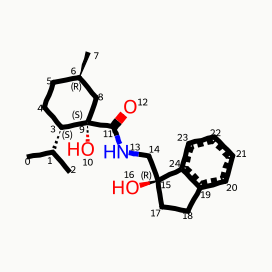 CC(C)[C@@H]1CC[C@@H](C)C[C@@]1(O)C(=O)NC[C@@]1(O)CCc2ccccc21